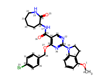 COc1cccc2c1CCN2c1ncc(C(=O)NC2CCCCNC2=O)c(OCc2ccc(Br)cc2)n1